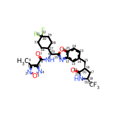 Cc1nonc1C(=O)N[C@H](c1nc2cc(C[C@H]3C[C@@H](C(F)(F)F)NC3=O)ccc2o1)C1CCC(F)(F)CC1